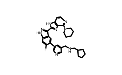 Fc1cc2[nH]nc(-c3nc4c(N5CCCCC5)nccc4[nH]3)c2cc1-c1cncc(CNCC2CCCC2)c1